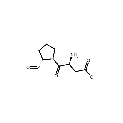 N[C@@H](CC(=O)O)C(=O)N1CCC[C@H]1[C]=O